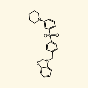 O=S(=O)(c1ccc(CN2CSc3ccccc32)cc1)c1cccc(N2CCCCC2)c1